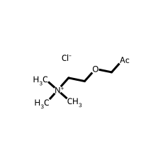 CC(=O)COCC[N+](C)(C)C.[Cl-]